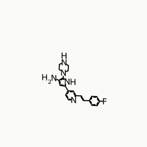 Nc1cc(-c2ccnc(/C=C/c3ccc(F)cc3)c2)[nH]c1N1CCNCC1